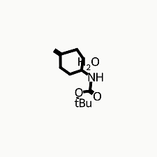 C=C1CCC(NC(=O)OC(C)(C)C)CC1.O